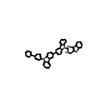 c1ccc(-c2ccc(-n3c4ccccc4c4cc(-c5ccc6c(c5)c5ccccc5n6C5NCc6sc7ccccc7c6N5)ccc43)cc2)cc1